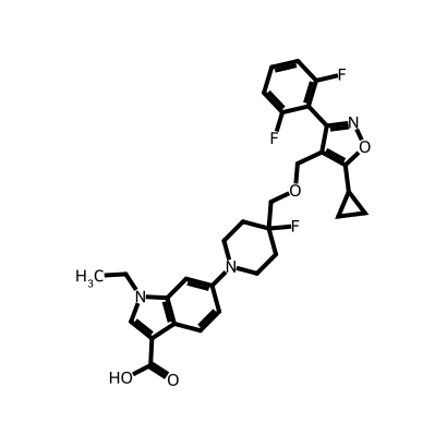 CCn1cc(C(=O)O)c2ccc(N3CCC(F)(COCc4c(-c5c(F)cccc5F)noc4C4CC4)CC3)cc21